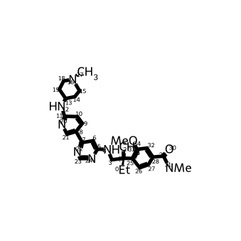 CC[C@](C)(CNc1cc(-c2ccc(NC3CCN(C)CC3)nc2)ncn1)c1ccc(C(=O)NC)cc1OC